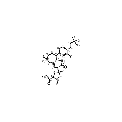 CC1CC(C)(N2C=C3CC(C)(C)CCC(C4C=C(Cl)C(CCC(C)(C)C)=CC4)C3NC2=O)CC1C(=O)O